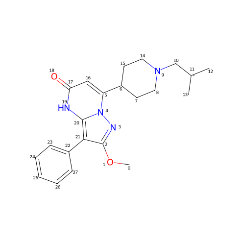 COc1nn2c(C3CCN(C[C](C)C)CC3)cc(=O)[nH]c2c1-c1ccccc1